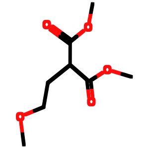 COCCC(C(=O)OC)C(=O)OC